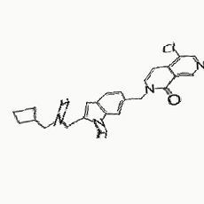 O=c1c2cncc(Cl)c2ccn1Cc1ccc2cc(CNCC3CCC3)[nH]c2c1